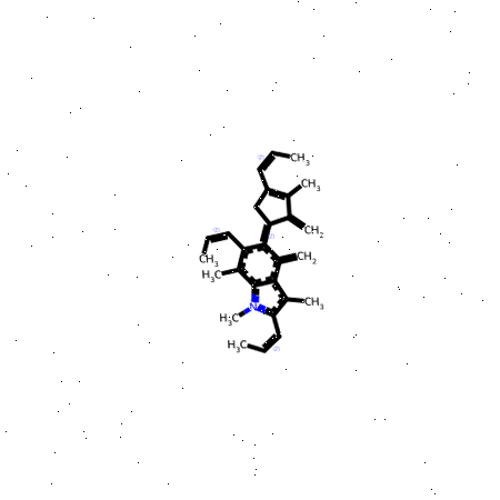 C=C1C(C)=C(/C=C\C)C/C1=c1\c(/C=C\C)c(C)c2c(c(C)c(/C=C\C)n2C)c1=C